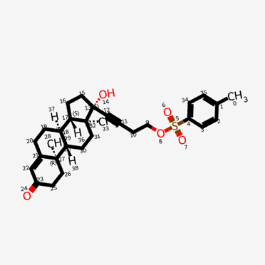 Cc1ccc(S(=O)(=O)OCCC#C[C@]2(O)CC[C@H]3[C@@H]4CCC5=CC(=O)CC[C@]5(C)[C@H]4CC[C@@]32C)cc1